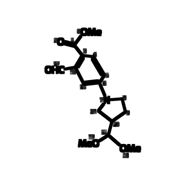 COC(=O)c1ccc(N2CCC(C(OC)OC)C2)cc1C=O